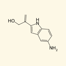 C=C(CO)c1cc2cc(N)ccc2[nH]1